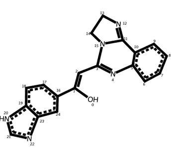 O/C(=C\C1=Nc2ccccc2C2=NCCN12)c1ccc2[nH]cnc2c1